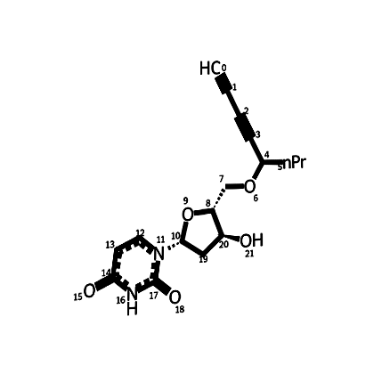 C#CC#CC(CCC)OC[C@H]1O[C@@H](n2ccc(=O)[nH]c2=O)C[C@@H]1O